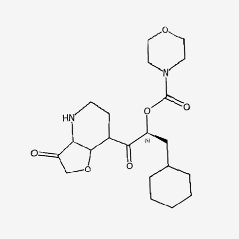 O=C1COC2C(C(=O)[C@H](CC3CCCCC3)OC(=O)N3CCOCC3)CCNC12